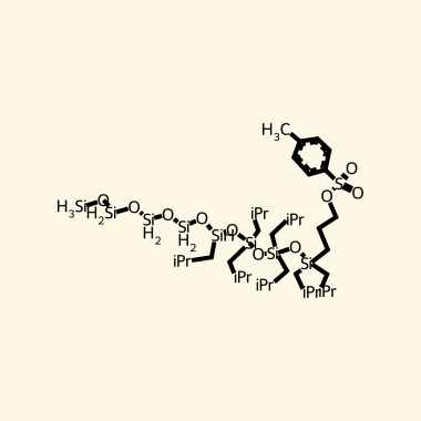 Cc1ccc(S(=O)(=O)OCCC[Si](CC(C)C)(CC(C)C)O[Si](CC(C)C)(CC(C)C)O[Si](CC(C)C)(CC(C)C)O[SiH](CC(C)C)O[SiH2]O[SiH2]O[SiH2]O[SiH3])cc1